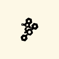 CC1(CN2C(=O)c3ccccc3C2=O)CN(c2ccccc2)CCN1c1ccccc1